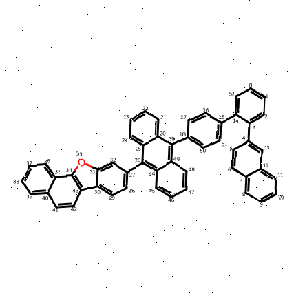 c1ccc(-c2ccc3ccccc3c2)c(-c2ccc(-c3c4ccccc4c(-c4ccc5c(c4)oc4c6ccccc6ccc54)c4ccccc34)cc2)c1